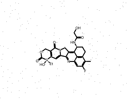 CC[Si@@]1(O)C(=O)OCc2c1cc1n(c2=O)Cc2c-1nc1cc(F)c(C)c3c1c2[C@@H](NC(=O)CO)CC3